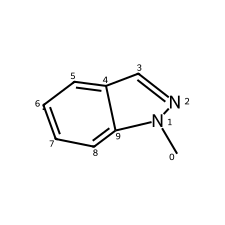 Cn1ncc2c[c]ccc21